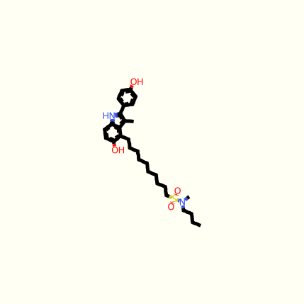 CCCCN(C)S(=O)(=O)CCCCCCCCCCc1c(O)ccc2[nH]c(-c3ccc(O)cc3)c(C)c12